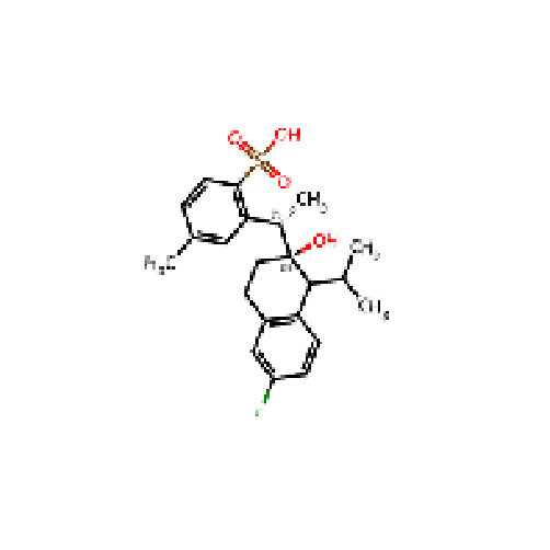 Cc1ccc(S(=O)(=O)O)c([C@H](C)[C@@]2(O)CCc3cc(F)ccc3C2C(C)C)c1